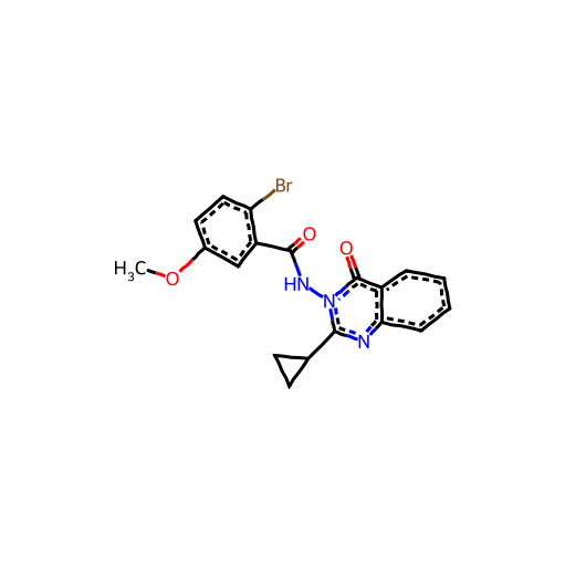 COc1ccc(Br)c(C(=O)Nn2c(C3CC3)nc3ccccc3c2=O)c1